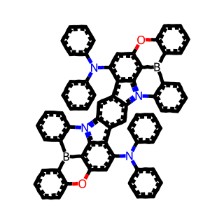 c1ccc(N(c2ccccc2)c2cc3c4c5c2c2cc6c(cc2n5-c2ccccc2B4c2ccccc2O3)c2c(N(c3ccccc3)c3ccccc3)cc3c4c2n6-c2ccccc2B4c2ccccc2O3)cc1